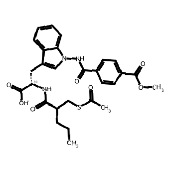 CCCC(CSC(C)=O)C(=O)N[C@@H](Cc1cn(NC(=O)c2ccc(C(=O)OC)cc2)c2ccccc12)C(=O)O